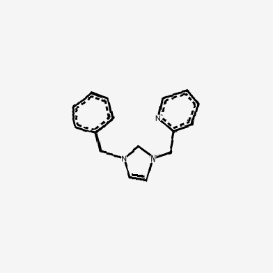 C1=CN(Cc2ccccn2)CN1Cc1ccccc1